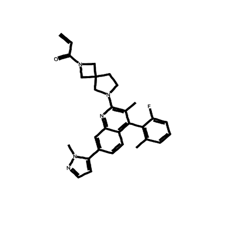 C=CC(=O)N1CC2(CCN(c3nc4cc(-c5ccnn5C)ccc4c(-c4c(C)cccc4F)c3C)C2)C1